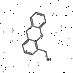 S[CH]c1cccc2c1Oc1ccccc1C2